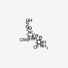 CO[C@H]1CN(CC(=O)OCCO)CC[C@H]1NC(=O)c1cc(Cl)c(N)[nH]c1=O